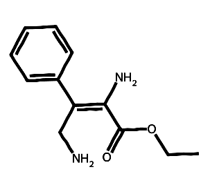 CCOC(=O)C(N)=C(CN)c1ccccc1